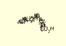 CN1CCN(/N=C/c2ccc(C3=NOC(CN4CCC(OCC(=O)O)CC4)C3)cc2)CC1